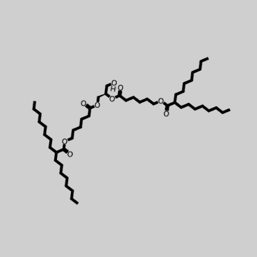 CCCCCCCCC(CCCCCCCC)C(=O)OCCCCCC(=O)OC[C@@H](CO)OC(=O)CCCCCOC(=O)C(CCCCCCCC)CCCCCCCC